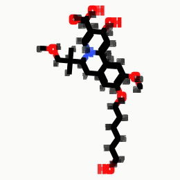 COCC(C)(C)C1Cc2cc(OCCCCCCO)c(OC)cc2C2=CC(O)C(C(=O)O)=CN21